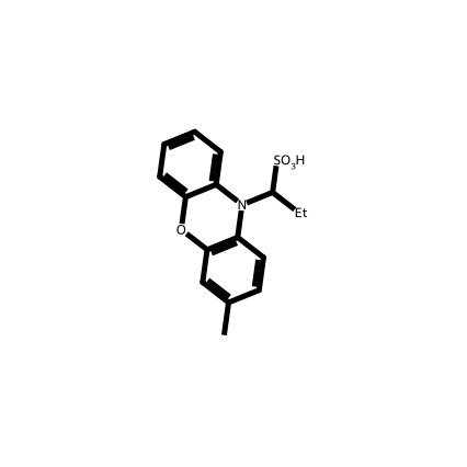 CCC(N1c2ccccc2Oc2cc(C)ccc21)S(=O)(=O)O